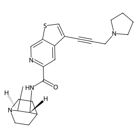 C[C@H]1[C@H](NC(=O)c2cc3c(C#CCN4CCCC4)csc3cn2)C2CCN1CC2